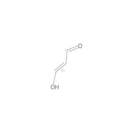 O=[C]/C=C/O